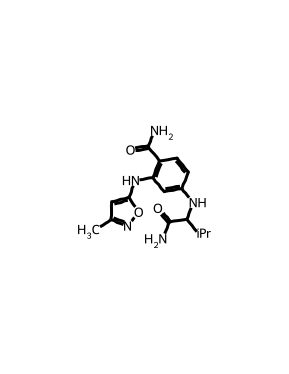 Cc1cc(Nc2cc(NC(C(N)=O)C(C)C)ccc2C(N)=O)on1